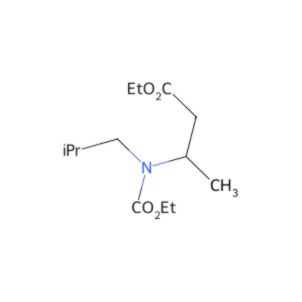 CCOC(=O)CC(C)N(CC(C)C)C(=O)OCC